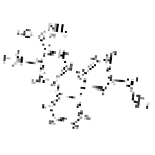 COc1ccc(-c2nc(C(N)=O)c(N)nc2-c2ccccc2)cn1